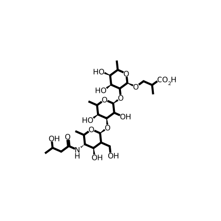 CC(O)CC(=O)N[C@@H]1C(C)O[C@@H](O[C@@H]2C(O)[C@H](OC3[C@H](OCC(C)C(=O)O)OC(C)[C@H](O)[C@@H]3O)OC(C)[C@@H]2O)C(CO)[C@H]1O